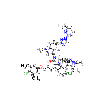 Cc1ccnc(-n2cnc(-c3ccc4c(c3)c(N3C[C@@H](C)n5c(c(CCCOc6cc(C)c(Cl)c(C)c6)c6ccc(Cl)c(-c7c(C)nn(C)c7C)c65)C3=O)cn4C)n2)n1